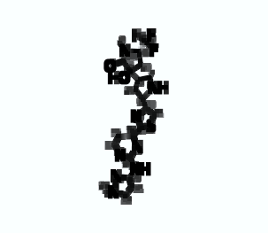 CN1C(=O)[C@@](O)(C2CNC(c3csc(-c4ccnc(Nc5ccn(C)n5)n4)n3)C2)C[C@H]1C(F)(F)F